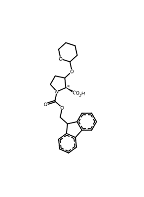 O=C(O)[C@@H]1C(OC2CCCCO2)CCN1C(=O)OCC1c2ccccc2-c2ccccc21